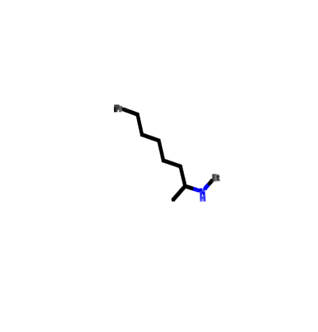 CCNC(C)CCCCCC(C)C